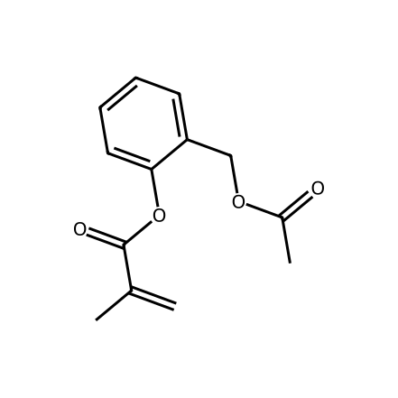 C=C(C)C(=O)Oc1ccccc1COC(C)=O